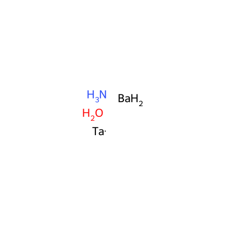 N.O.[BaH2].[Ta]